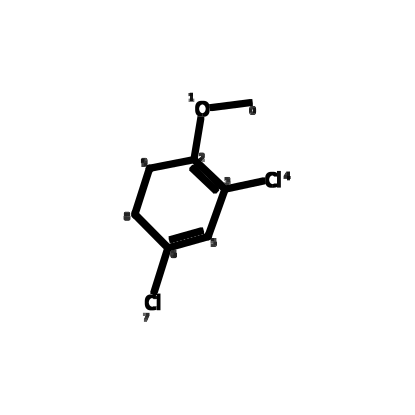 COC1=C(Cl)C=C(Cl)CC1